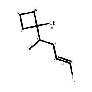 CCC1(C(C)C/C=C/I)CCC1